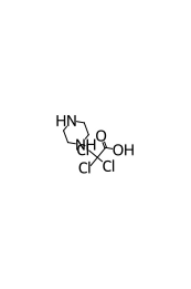 C1CNCCN1.O=C(O)C(Cl)(Cl)Cl